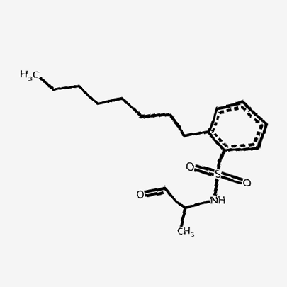 CCCCCCCCc1ccccc1S(=O)(=O)NC(C)[C]=O